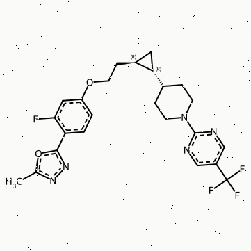 Cc1nnc(-c2ccc(OCC[C@H]3C[C@@H]3C3CCN(c4ncc(C(F)(F)F)cn4)CC3)cc2F)o1